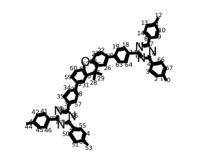 Cc1ccc(-c2nc(-c3ccc(C)cc3)nc(-c3ccc(-c4ccc5c(c4)C(C)(C)c4cc(-c6ccc(-c7nc(-c8ccc(C)cc8)nc(-c8ccc(C)cc8)n7)cc6)ccc4O5)cc3)n2)cc1